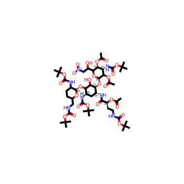 CC(=O)OC1[C@@H](O[C@@H]2C(O)C(O[C@H]3OC(CNC(=O)OC(C)(C)C)CCC3NC(=O)OC(C)(C)C)[C@H](NC(=O)OC(C)(C)C)C[C@H]2NC(=O)[C@H](CCNC(=O)OC(C)(C)C)OC(C)=O)OC(C(O)C[N+](=O)[O-])[C@@H](OC(C)=O)[C@@H]1NC(=O)OC(C)(C)C